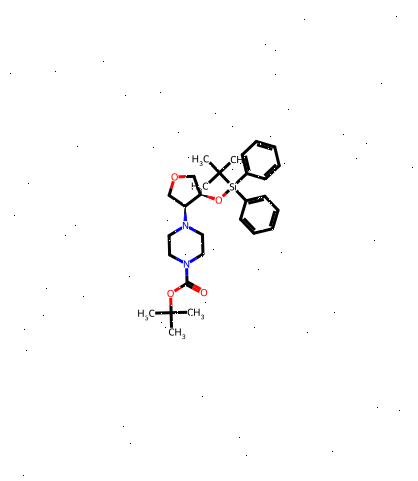 CC(C)(C)OC(=O)N1CCN([C@H]2COC[C@H]2O[Si](c2ccccc2)(c2ccccc2)C(C)(C)C)CC1